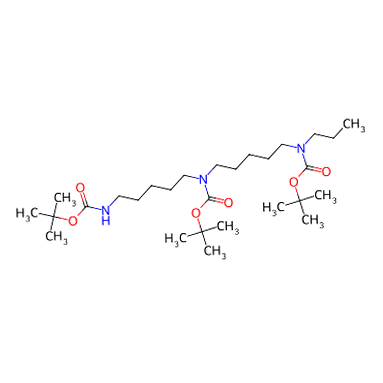 CCCN(CCCCCN(CCCCCNC(=O)OC(C)(C)C)C(=O)OC(C)(C)C)C(=O)OC(C)(C)C